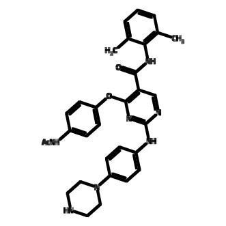 CC(=O)Nc1ccc(Oc2nc(Nc3ccc(N4CCNCC4)cc3)ncc2C(=O)Nc2c(C)cccc2C)cc1